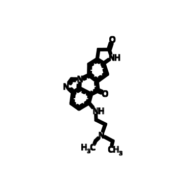 CCN(CC)CCNc1ccc2ncn3c4cc5c(cc4c(=O)c1c23)NC(=O)C5